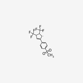 CS(=O)(=O)c1ccc(C2=CC(C(F)(F)F)C(C(F)(F)F)[CH]2)cc1